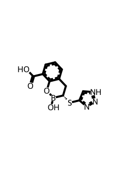 O=C(O)c1cccc2c1OB(O)[C@@H](Sc1c[nH]nn1)C2